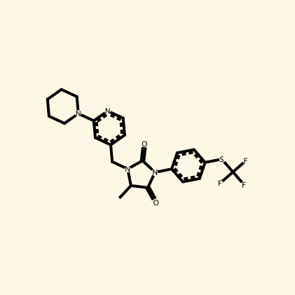 CC1C(=O)N(c2ccc(SC(F)(F)F)cc2)C(=O)N1Cc1ccnc(N2CCCCC2)c1